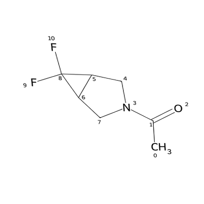 CC(=O)N1CC2C(C1)C2(F)F